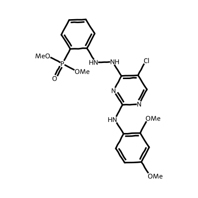 COc1ccc(Nc2ncc(Cl)c(NNc3ccccc3P(=O)(OC)OC)n2)c(OC)c1